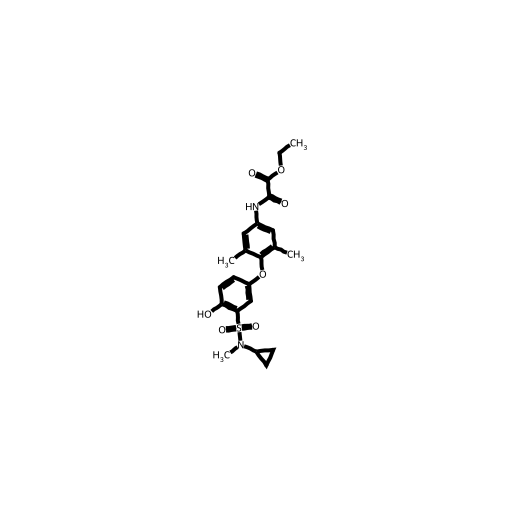 CCOC(=O)C(=O)Nc1cc(C)c(Oc2ccc(O)c(S(=O)(=O)N(C)C3CC3)c2)c(C)c1